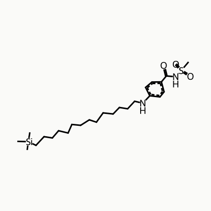 C[Si](C)(C)CCCCCCCCCCCCCCNc1ccc(C(=O)NS(C)(=O)=O)cc1